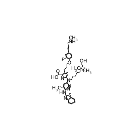 CNCC#Cc1ccc(OCCCc2sc(N(CCCCC[N+](C)(C)CCO)c3cc(C)c(Nc4nc5ccccc5s4)nn3)nc2C(=O)O)c(F)c1